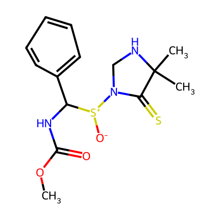 COC(=O)NC(c1ccccc1)[S+]([O-])N1CNC(C)(C)C1=S